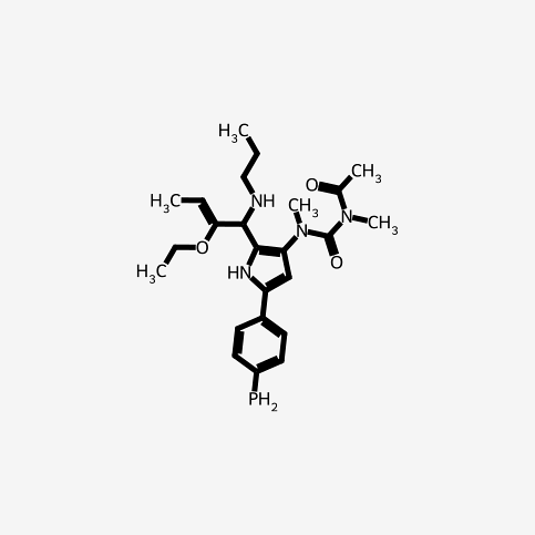 C/C=C(\OCC)C(NCCC)c1[nH]c(-c2ccc(P)cc2)cc1N(C)C(=O)N(C)C(C)=O